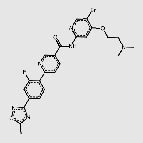 Cc1nc(-c2ccc(-c3ccc(C(=O)Nc4cc(OCCN(C)C)c(Br)cn4)cn3)c(F)c2)no1